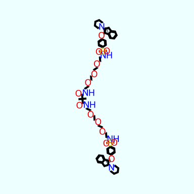 CC(C)(C(=O)NCCOCCOCCOCCNS(=O)(=O)c1ccc(O[C@H]2c3ccccc3CC2N2CCCCC2)cc1)C(=O)NCCOCCOCCOCCNS(=O)(=O)c1ccc(O[C@H]2c3ccccc3C[C@@H]2N2CCCCC2)cc1